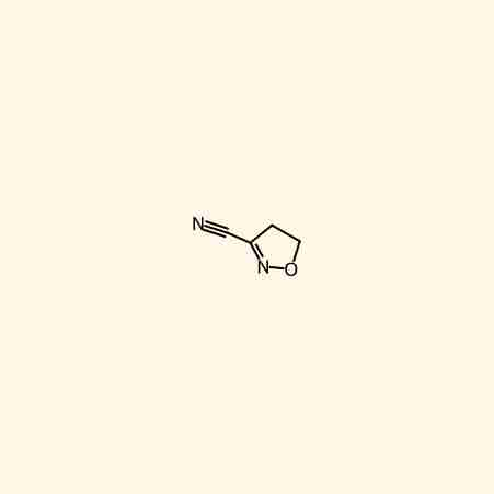 N#CC1=NOCC1